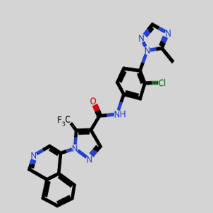 Cc1ncnn1-c1ccc(NC(=O)c2cnn(-c3cncc4ccccc34)c2C(F)(F)F)cc1Cl